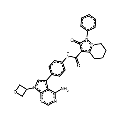 Nc1ncnc2c1c(-c1ccc(NC(=O)c3c4n(n(-c5ccccc5)c3=O)CCCC4)cc1)cn2C1COC1